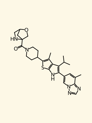 Cc1c(C2CCN(C(=O)C34COC(CN3)C4)CC2)sc2[nH]c(-c3cc(C)c4ncnn4c3)c(C(C)C)c12